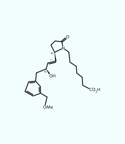 COCc1cccc(C[C@H](O)/C=C/[C@H]2CCC(=O)N2CCCCCCC(=O)O)c1